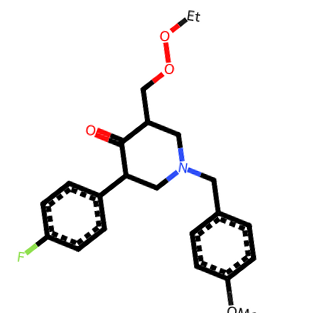 CCOOCC1CN(Cc2ccc(OC)cc2)CC(c2ccc(F)cc2)C1=O